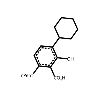 CCCCCc1ccc(C2CCCCC2)c(O)c1C(=O)O